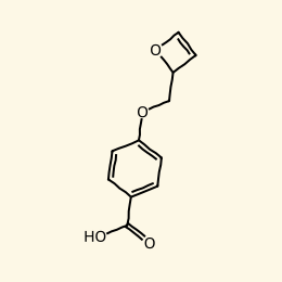 O=C(O)c1ccc(OCC2C=CO2)cc1